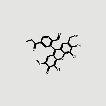 CCC(=O)c1ccc(C=O)c(-c2c3cc(OC)c(=O)c(Cl)c-3oc3c(Cl)c(O)c(CO)cc23)c1